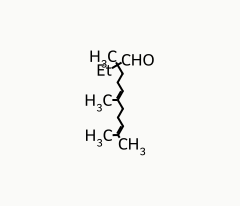 CCC(C)(C=O)CC/C=C(\C)CCC=C(C)C